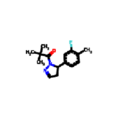 Cc1ccc(C2CC=NN2C(=O)C(C)(C)C)cc1F